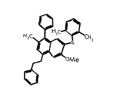 COc1cc2c(CCc3ccccc3)cc(C)c(-c3ccccc3)c2cc1Sc1c(C)cccc1C